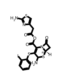 Nc1nc(CC(=O)OC(=O)C2=C(Sc3ccccc3I)C(N)S[C@@H]3CC(=O)N23)cs1